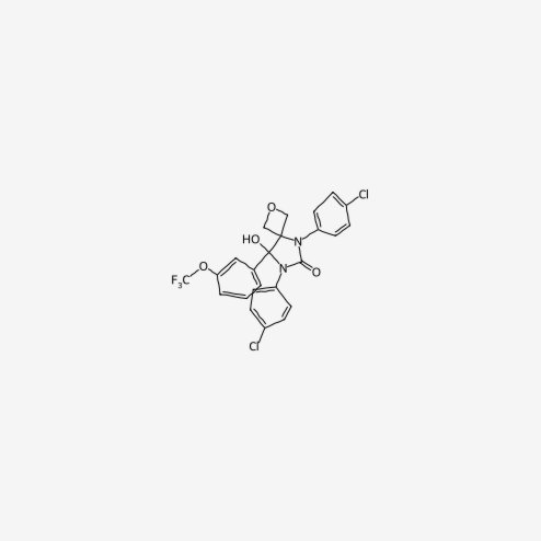 O=C1N(c2ccc(Cl)cc2)C2(COC2)C(O)(c2cccc(OC(F)(F)F)c2)N1c1ccc(Cl)cc1